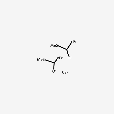 CCCC([O-])SC.CCCC([O-])SC.[Ca+2]